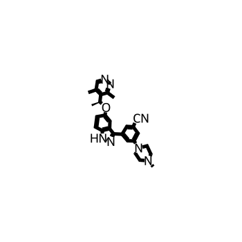 Cc1cnnc(C)c1[C@H](C)Oc1ccc2[nH]nc(-c3cc(C#N)cc(N4CCN(C)CC4)c3)c2c1